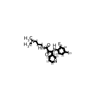 CN(C)CCCNC(=O)c1oc2ccncc2c1Nc1ccc(I)cc1F